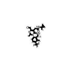 Cc1nc(C=O)c(CC(=O)NC2(C)CC2)c(N[C@H](C)c2cccc(C(F)(F)F)c2C)n1